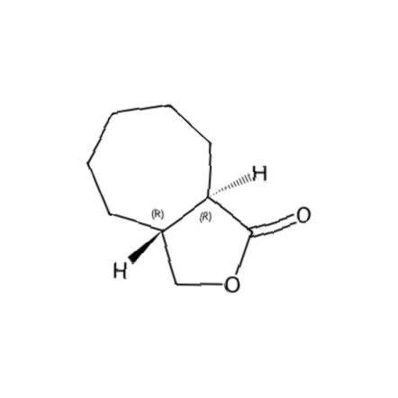 O=C1OC[C@@H]2CCCCC[C@@H]12